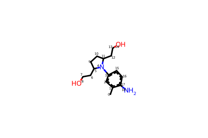 Cc1cc(N2C(CCO)CCC2CCO)ccc1N